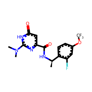 C[C@@H](NC(=O)c1cc(=O)[nH]c(N(C)C)n1)c1ccc(OC(F)(F)F)cc1F